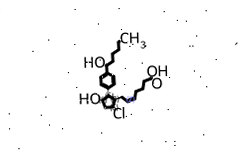 CCCCCC(O)c1ccc([C@@H]2[C@@H](C/C=C\CCCC(=O)O)[C@@H](Cl)C[C@@H]2O)cc1